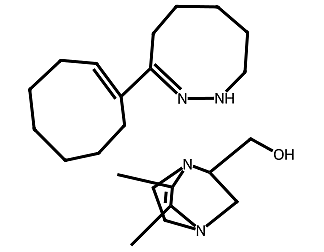 C1=C(C2=NNCCCCC2)CCCCCC1.CC1=C(C)N2CCN1CC2CO